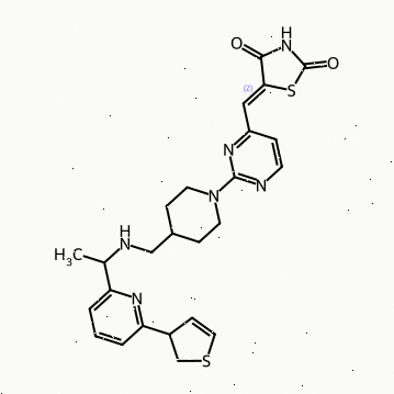 CC(NCC1CCN(c2nccc(/C=C3\SC(=O)NC3=O)n2)CC1)c1cccc(C2C=CSC2)n1